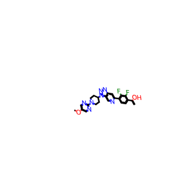 C=C(O)c1ccc(-c2cc3nnn(C4CCN(c5ncc(OC)cn5)CC4)c3cn2)c(F)c1F